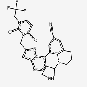 N#Cc1cc2c(c(-c3ccnc4cc(Cn5c(=O)ccn(CC(F)(F)F)c5=O)sc34)c1)N(C1CCNC1)CCC2